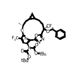 C[C@@H]1CC2CC2CC[C@](OCc2ccccc2)(C(F)(F)F)c2nnc(o2)-c2nc(c(C(F)(F)F)cc2N(C(=O)OC(C)(C)C)C(=O)OC(C)(C)C)O1